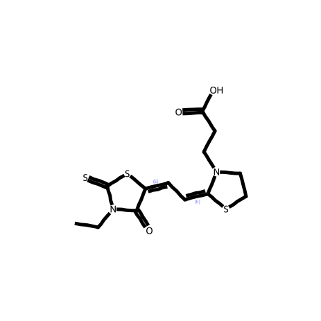 CCN1C(=O)/C(=C\C=C2\SCCN2CCC(=O)O)SC1=S